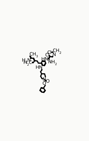 C=C/C(=C\C(N)=C/C)CCc1cc(N/C(N)=C(Cl)/C=N\C(=C)Cl)ccc1NCCC1CCN(C(=O)OCc2ccccc2)CC1